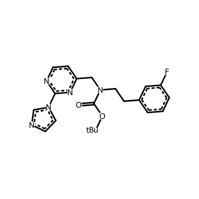 CC(C)(C)OC(=O)N(CCc1cccc(F)c1)Cc1ccnc(-n2ccnc2)n1